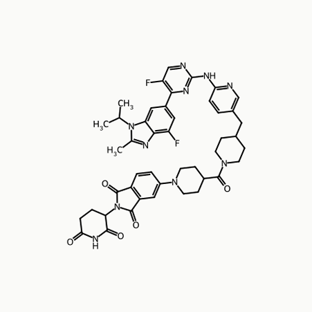 Cc1nc2c(F)cc(-c3nc(Nc4ccc(CC5CCN(C(=O)C6CCN(c7ccc8c(c7)C(=O)N(C7CCC(=O)NC7=O)C8=O)CC6)CC5)cn4)ncc3F)cc2n1C(C)C